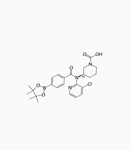 CC1(C)OB(c2ccc(C(=O)N(c3ncccc3Cl)[C@@H]3CCCN(C(=O)O)C3)cc2)OC1(C)C